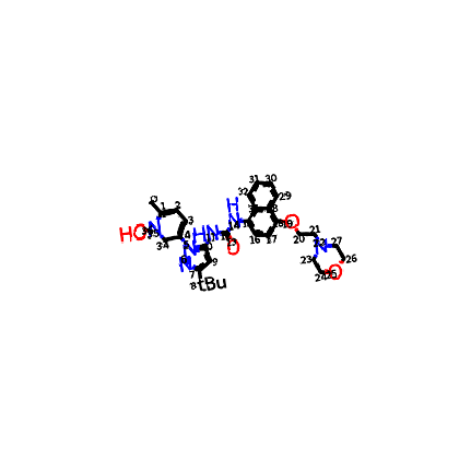 CC1=CC=C(n2nc(C(C)(C)C)cc2NC(=O)Nc2ccc(OCCN3CCOCC3)c3ccccc23)CN1O